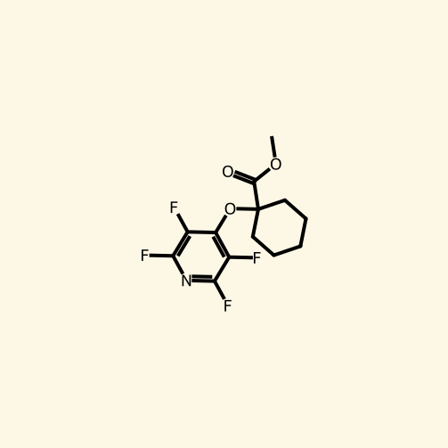 COC(=O)C1(Oc2c(F)c(F)nc(F)c2F)CCCCC1